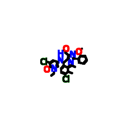 CCn1cc(NC2C3=CC=C(Cl)C(C)C3=C(C)n3c(-c4ccccc4OC)nc(C=O)c32)cc(Cl)c1=O